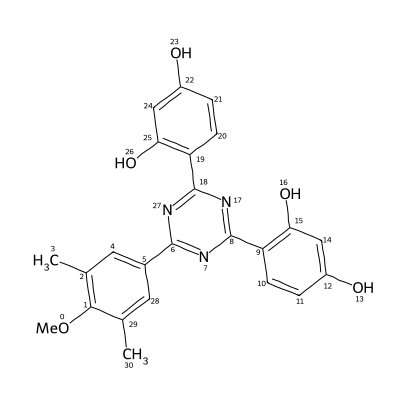 COc1c(C)cc(-c2nc(-c3ccc(O)cc3O)nc(-c3ccc(O)cc3O)n2)cc1C